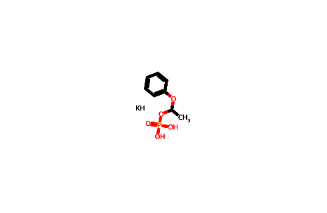 CC(Oc1ccccc1)OP(=O)(O)O.[KH]